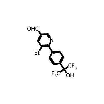 CCc1cc(C=O)cnc1-c1ccc(C(O)(C(F)(F)F)C(F)(F)F)cc1